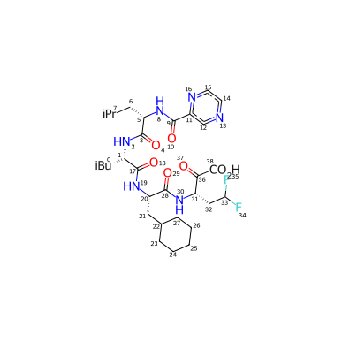 CC[C@@H](C)[C@H](NC(=O)[C@H](CC(C)C)NC(=O)c1cnccn1)C(=O)N[C@@H](CC1CCCCC1)C(=O)N[C@@H](CC(F)F)C(=O)C(=O)O